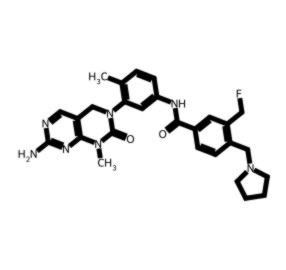 Cc1ccc(NC(=O)c2ccc(CN3CCCC3)c(CF)c2)cc1N1Cc2cnc(N)nc2N(C)C1=O